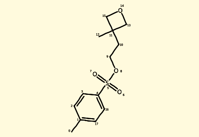 Cc1ccc(S(=O)(=O)OCCC2(C)COC2)cc1